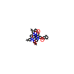 CC(C)(C)c1ccc(N2B3c4cc(N(c5ccc(C(C)(C)C)cc5)c5ccc(C(C)(C)C)cc5)ccc4N(c4ccc(C(C)(C)C)cc4-c4ccccc4)c4c3c(cc3oc5ccccc5c43)-c3cc4c(cc32)oc2cc3c(cc24)C(C)(C)CCC3(C)C)cc1